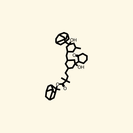 CC1CC(CC2CC(CCC(C)(C)C(=O)OC3(C)C4CC5CC(C4)CC3C5)CC(O)(C3CCCCC3=O)C2)CC(O)(C23CC4CC(CC(C4)C2)C3)C1